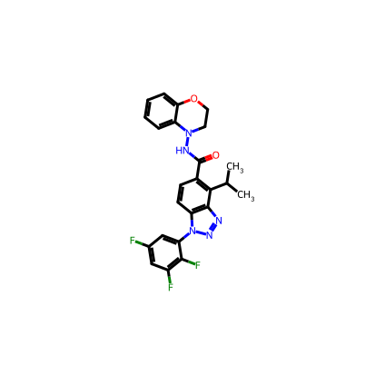 CC(C)c1c(C(=O)NN2CCOc3ccccc32)ccc2c1nnn2-c1cc(F)cc(F)c1F